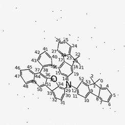 CC1(C)c2ccccc2-c2ccc(N(c3ccc4c(c3)C(C)(C)c3ccccc3-4)c3cccc4c3oc3c(-c5ccccc5)c5ccccc5cc34)cc21